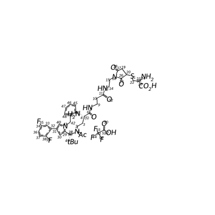 CC(=O)N(CC[C@H](N)C(=O)NCCC(=O)NCCN1C(=O)CC(SC[C@H](N)C(=O)O)C1=O)[C@@H](c1cc(-c2cc(F)ccc2F)cn1Cc1ccccc1)C(C)(C)C.O=C(O)C(F)(F)F